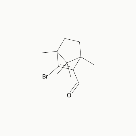 CC12CCC(C)(C(C=O)=C1Br)C2(C)C